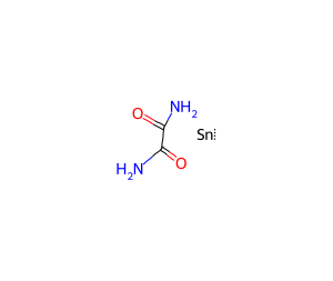 NC(=O)C(N)=O.[Sn]